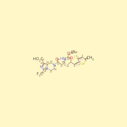 C=C(F)/C=C(F)\C(F)=C/CC[C@H](CC(=O)N1CCn2c(C(F)(F)F)nc(C(=O)O)c2C1)NC(=O)OC(C)(C)C